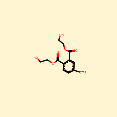 O=C(O)c1ccc(C(=O)OCCO)c(C(=O)OCCO)c1